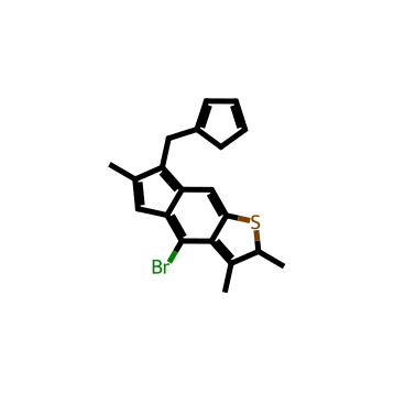 CC1=Cc2c(Br)c3c(cc2=C1CC1=CC=CC1)SC(C)C=3C